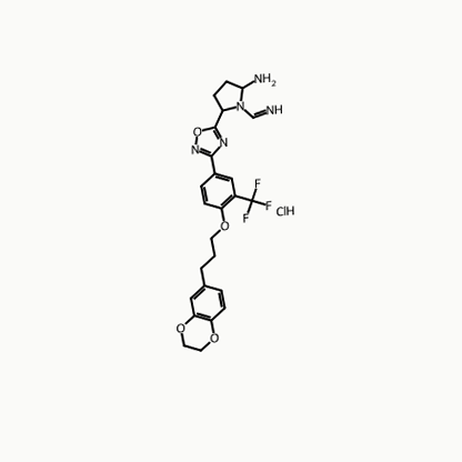 Cl.N=CN1C(N)CCC1c1nc(-c2ccc(OCCCc3ccc4c(c3)OCCO4)c(C(F)(F)F)c2)no1